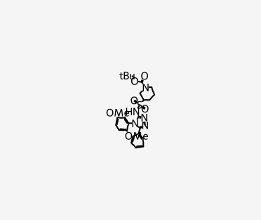 COc1cccc(OC)c1-n1c(NS(=O)(=O)C2CCCN(C(=O)OC(C)(C)C)C2)nnc1-c1ccccc1